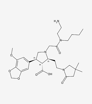 CCCCN(CCN)C(=O)CN1C[C@H](c2cc(OC)c3c(c2)OCO3)[C@@H](C(=O)O)[C@@H]1CCN1CC(C)(C)CC1=O